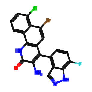 Nc1c(-c2ccc(F)c3[nH]ncc23)c2cc(Br)c3c(Cl)cccc3c2[nH]c1=O